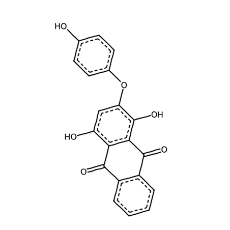 O=C1c2ccccc2C(=O)c2c(O)c(Oc3ccc(O)cc3)cc(O)c21